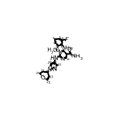 COc1cccc(F)c1Nc1nc(Nc2cnn(C3CCOCC3)c2)ncc1C(N)=O